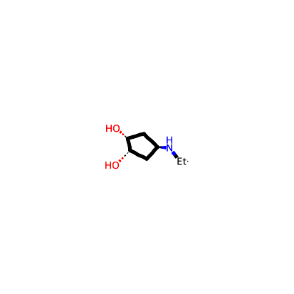 C[CH]N[C@@H]1C[C@@H](O)[C@@H](O)C1